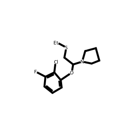 CCSCC(Oc1cccc(F)c1Cl)N1CCCC1